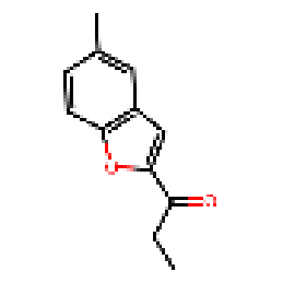 CCC(=O)c1cc2cc(C)ccc2o1